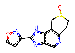 [O-][S+]1CCc2ncc3nc(-c4ccon4)[nH]c3c2C1